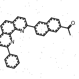 CC(=O)c1ccc2cc(-c3ccc4ccc5ccc(-c6ccccc6)nc5c4n3)ccc2c1